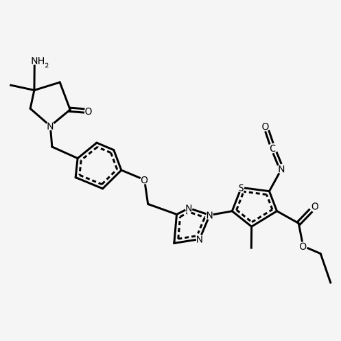 CCOC(=O)c1c(N=C=O)sc(-n2ncc(COc3ccc(CN4CC(C)(N)CC4=O)cc3)n2)c1C